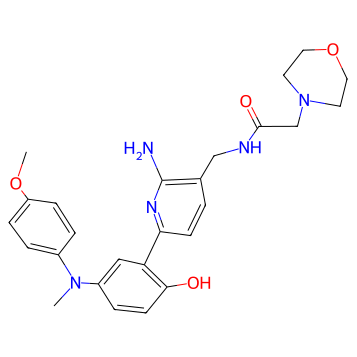 COc1ccc(N(C)c2ccc(O)c(-c3ccc(CNC(=O)CN4CCOCC4)c(N)n3)c2)cc1